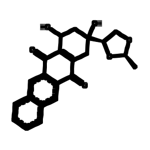 C[C@@H]1OC[C@H](C2(O)CC3=C(C(=O)c4cc5ccccc5cc4C3=O)C(O)C2)O1